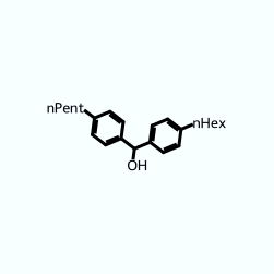 CCCCCCc1ccc(C(O)c2ccc(CCCCC)cc2)cc1